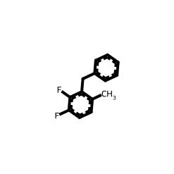 Cc1ccc(F)c(F)c1Cc1ccccc1